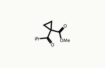 COC(=O)C1(C(=O)C(C)C)CC1